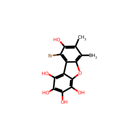 Bc1c(C)c(O)c(Br)c2c1oc1c(O)c(O)c(O)c(O)c12